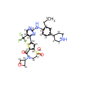 CCc1cc(C2CCNCC2)ccc1Nc1ncc(C(F)(F)F)c(-c2cc3c(s2)C(=O)N(C2COC2)CCS3(=O)=O)n1